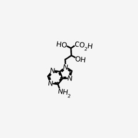 Nc1ncnc2c1ncn2CC(O)C(O)C(=O)O